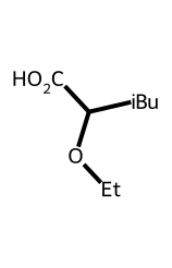 CCOC(C(=O)O)C(C)CC